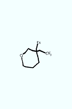 CCC1(C)CCCOC1